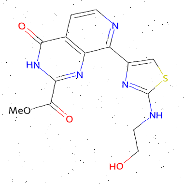 COC(=O)c1nc2c(-c3csc(NCCO)n3)nccc2c(=O)[nH]1